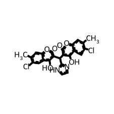 Cc1cc2oc(=O)c(C(c3ncc[nH]3)c3c(O)c4cc(Cl)c(C)cc4oc3=O)c(O)c2cc1Cl